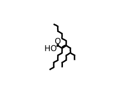 CCCCCCC(CC(CC)CCCC)=C(CCCCCC)C(=O)O